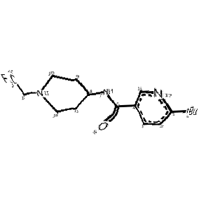 CC(C)(C)c1ccc(C(=O)NC2CCN(CC(F)(F)F)CC2)cn1